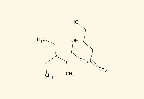 C=CCCCO.CCO.CCP(CC)CC